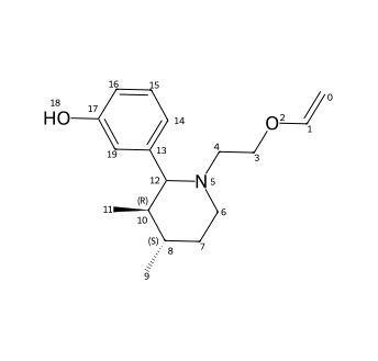 C=COCCN1CC[C@H](C)[C@@H](C)C1c1cccc(O)c1